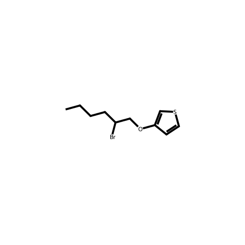 CCCCC(Br)COc1ccsc1